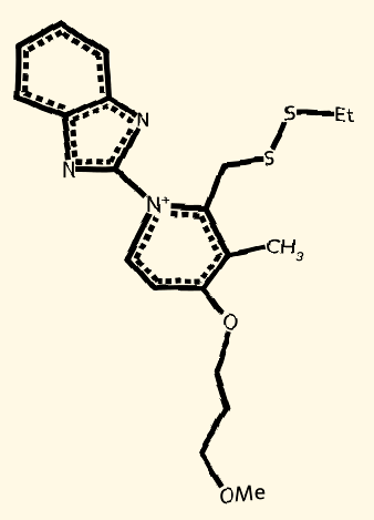 CCSSCc1c(C)c(OCCCOC)cc[n+]1-c1nc2ccccc2[n-]1